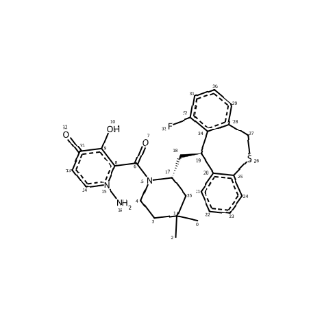 CC1(C)CCN(C(=O)c2c(O)c(=O)ccn2N)[C@H](C[C@@H]2c3ccccc3SCc3cccc(F)c32)C1